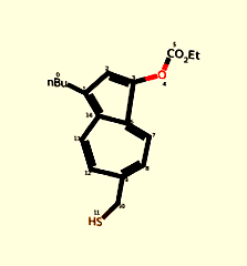 CCCCc1cc(OC(=O)OCC)c2ccc(CS)ccc1-2